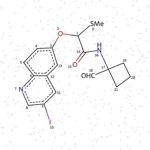 CSC(Oc1ccc2ncc(I)cc2c1)C(=O)NC1(C=O)CCC1